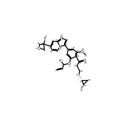 C=CC(F)Oc1cc(-c2cnc3cc(C4(F)COC4)ccn23)cc(OC)c1C(=O)CCC[C@@H]1C[C@@H]1F